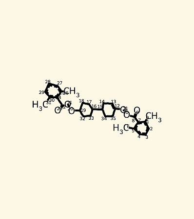 Cc1cccc(C)c1C(=O)OOC1=CCC(C2CCC(OOC(=O)c3c(C)cccc3C)CC2)CC1